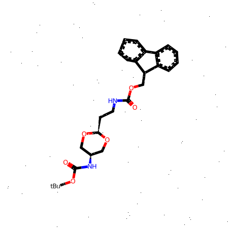 CC(C)(C)OC(=O)N[C@H]1CO[C@@H](CCNC(=O)OCC2c3ccccc3-c3ccccc32)OC1